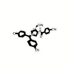 COC[C@H]1CN(C(c2ccc(Cl)cc2)c2ccc(C#N)cc2)C[C@H]1NC(=O)c1ccc(C#N)cc1